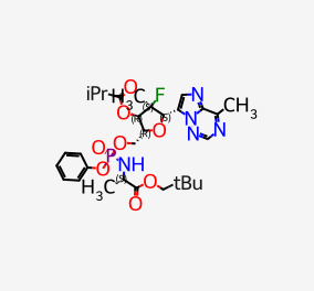 Cc1ncnn2c([C@@H]3O[C@H](COP(=O)(N[C@@H](C)C(=O)OCC(C)(C)C)Oc4ccccc4)[C@@H](OC(=O)C(C)C)[C@@]3(C)F)cnc12